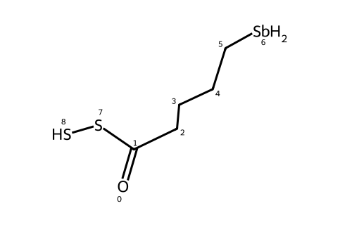 O=C(CCC[CH2][SbH2])SS